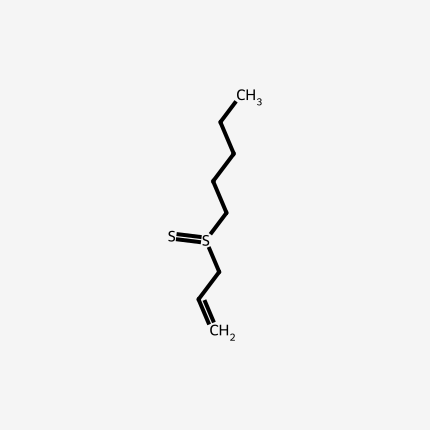 C=CCS(=S)CCCCC